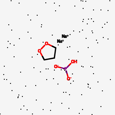 C1COOC1.[Na+].[Na+].[O-]P([O-])O